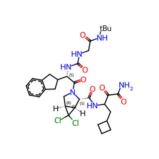 CC(C)(C)NC(=O)CNC(=O)N[C@H](C(=O)N1C[C@H]2[C@@H]([C@H]1C(=O)NC(CC1CCC1)C(=O)C(N)=O)C2(Cl)Cl)C1Cc2ccccc2C1